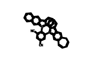 N#Cc1cc(C#N)c(-n2c3ccccc3c3cc4ccccc4cc32)c(-n2c3ccccc3c3cc4c(cc32)C=CC=CC4)c1